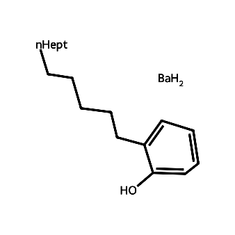 CCCCCCCCCCCCc1ccccc1O.[BaH2]